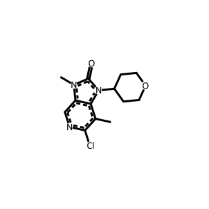 Cc1c(Cl)ncc2c1n(C1CCOCC1)c(=O)n2C